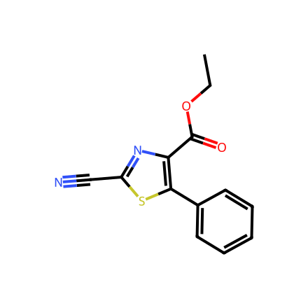 CCOC(=O)c1nc(C#N)sc1-c1ccccc1